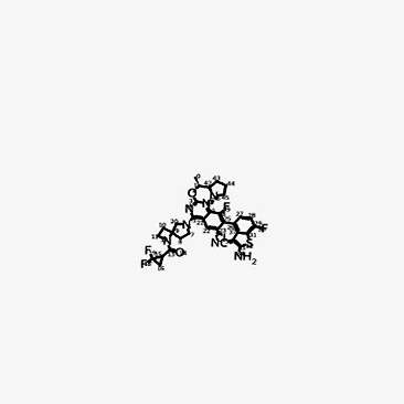 C[C@H](Oc1nc(N2CCC3(CCN3C(=O)C3CC3(F)F)C2)c2cc(Cl)c(-c3ccc(F)c4sc(N)c(C#N)c34)c(F)c2n1)C1CCCN1C